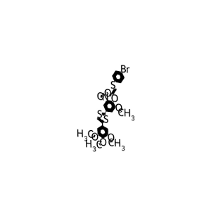 COc1cc([C@H]2CS[C@H](c3cc(OC)c(OCCSc4ccc(Br)cc4)c([N+](=O)[O-])c3)S2)cc(OC)c1OC